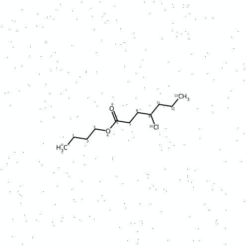 CCCCOC(=O)CCC(Cl)CCC